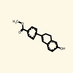 COC(=O)c1ccc(C2=Cc3ccc(O)cc3CC2)cc1